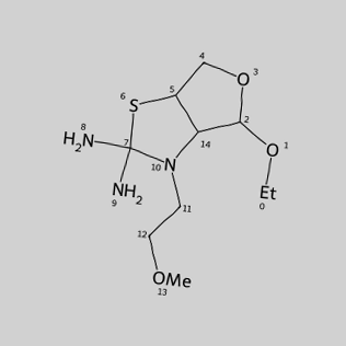 CCOC1OCC2SC(N)(N)N(CCOC)C12